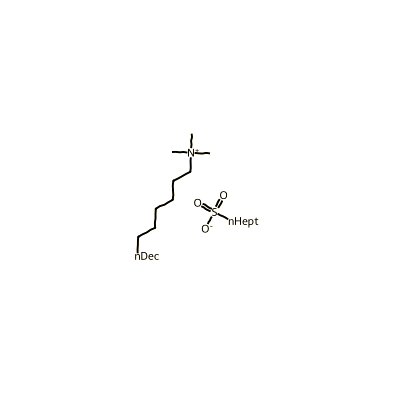 CCCCCCCCCCCCCCCC[N+](C)(C)C.CCCCCCCS(=O)(=O)[O-]